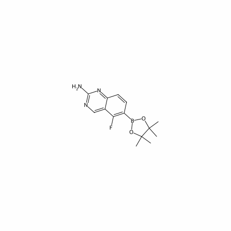 CC1(C)OB(c2ccc3nc(N)ncc3c2F)OC1(C)C